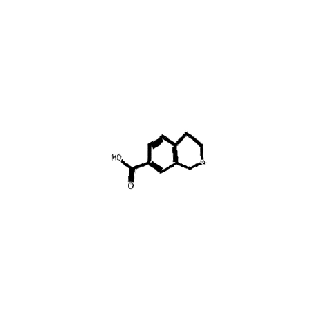 O=C(O)c1ccc2c(c1)C[N]CC2